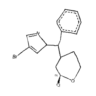 Cl[C@H]1CC(C(c2ccccc2)C2C=C(Br)C=N2)CCO1